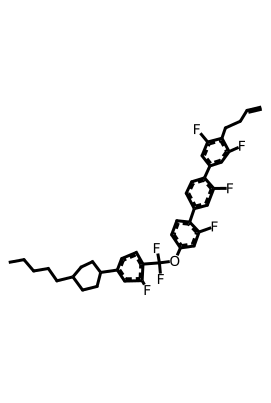 C=CCCc1c(F)cc(-c2ccc(-c3ccc(OC(F)(F)c4ccc(C5CCC(CCCCC)CC5)cc4F)cc3F)cc2F)cc1F